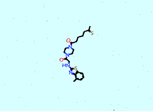 CC(=S)CCCCC(=O)N1CCN(C(=O)CNc2nc3c(C)cccc3s2)CC1